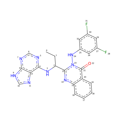 CCC(Nc1ncnc2[nH]cnc12)c1nc2ccccc2c(=O)n1Nc1cc(F)cc(F)c1